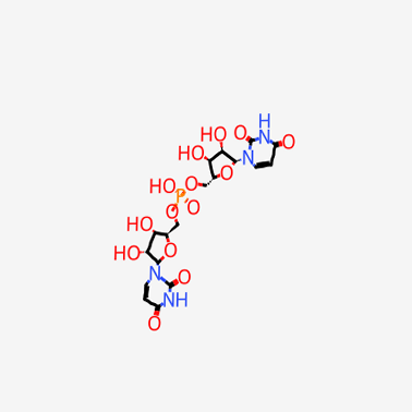 O=c1ccn([C@@H]2O[C@H](COP(=O)(O)OC[C@H]3O[C@@H](n4ccc(=O)[nH]c4=O)[C@H](O)[C@@H]3O)[C@@H](O)[C@H]2O)c(=O)[nH]1